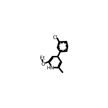 CCOC1=CC(c2cccc(Cl)c2)C=C(C)N1